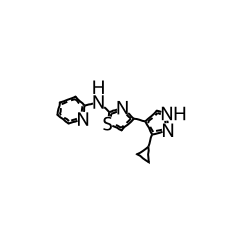 c1ccc(Nc2nc(-c3c[nH]nc3C3CC3)cs2)nc1